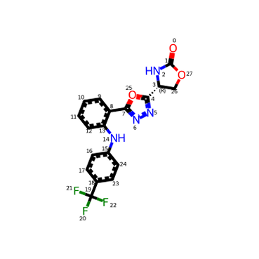 O=C1N[C@@H](c2nnc(-c3ccccc3Nc3ccc(C(F)(F)F)cc3)o2)CO1